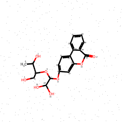 CC(O)C(CO)OC(Oc1ccc2c(c1)oc(=O)c1ccccc12)C(O)O